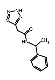 CC(NC(=O)Cc1nn[nH]n1)c1ccccc1